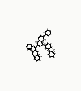 c1ccc(-c2ccc3nc(-n4c5ccccc5c5cc6ccccc6cc54)nc(-c4ccc5oc6ccccc6c5c4)c3c2)cc1